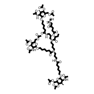 CCC(OC(=O)CCC(=O)C[SH](=P)=S)C(=O)N(CCCCN(CCCNC(=O)CCCCCO[C@@H]1OC(COC(C)=O)[C@H](OC(C)=O)[C@H](C)C1NC(C)=O)C(=O)CCCCCO[C@@H]1OC(COC(C)=O)[C@H](OC(C)=O)[C@H](C)C1NC(C)=O)CCCNC(=O)CCCCCO[C@@H]1OC(COC(C)=O)[C@H](OC(C)=O)[C@H](C)C1NC(C)=O